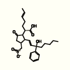 CC=CCCC(C(=O)O)C1C(=O)CC(C[N+](=O)[O-])C1C=CC(O)(CCCCC)c1ccccc1